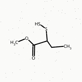 CCC(SS)C(=O)OC